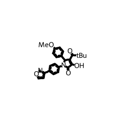 COc1ccc(C2C(C(=O)C(C)(C)C)=C(O)C(=O)N2c2ccc(-c3ccon3)cc2)cc1